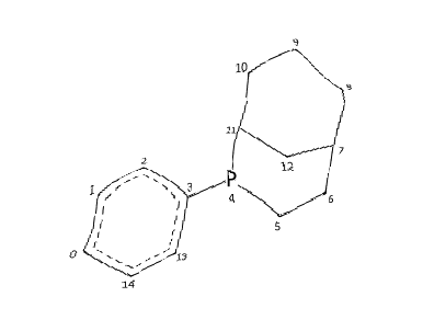 c1ccc(P2CCC3CCCC2C3)cc1